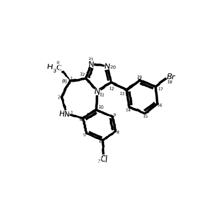 C[C@@H]1CNc2cc(Cl)ccc2-n2c(-c3cccc(Br)c3)nnc21